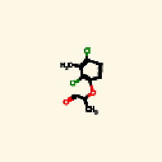 Cc1c(Cl)ccc(OC(C)C=O)c1Cl